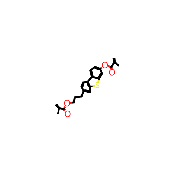 C=C(C)C(=O)OCCCc1ccc2c(c1)sc1cc(OC(=O)C(=C)C)ccc12